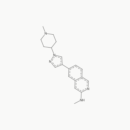 CNc1cc2cc(-c3cnn(C4CCN(C)CC4)c3)ccc2cn1